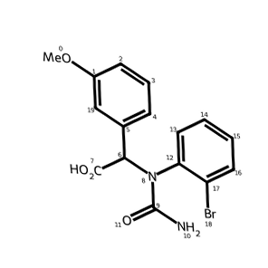 COc1cccc(C(C(=O)O)N(C(N)=O)c2ccccc2Br)c1